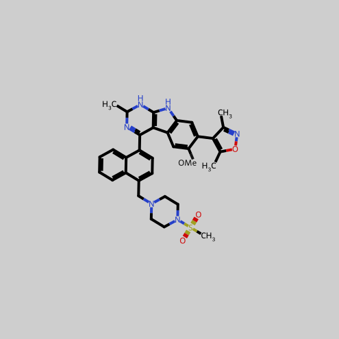 COc1cc2c3c([nH]c2cc1-c1c(C)noc1C)NC(C)N=C3c1ccc(CN2CCN(S(C)(=O)=O)CC2)c2ccccc12